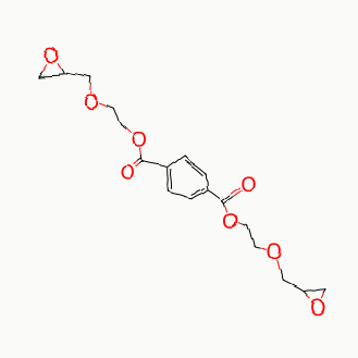 O=C(OCCOCC1CO1)c1ccc(C(=O)OCCOCC2CO2)cc1